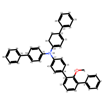 COc1c(-c2ccccc2)cccc1-c1ccc(N(C2=CC=C(c3ccccc3)CC2)c2ccc(-c3ccccc3)cc2)cc1